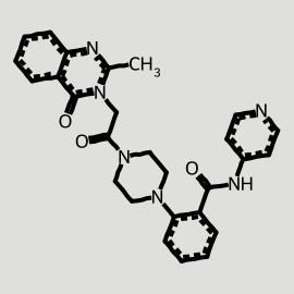 Cc1nc2ccccc2c(=O)n1CC(=O)N1CCN(c2ccccc2C(=O)Nc2ccncc2)CC1